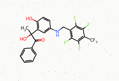 CC(O)(C(=O)c1ccccc1)c1cc(NCc2c(F)c(F)c(C(F)(F)F)c(F)c2F)ccc1O